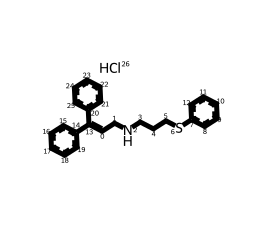 C(CNCCCSc1ccccc1)=C(c1ccccc1)c1ccccc1.Cl